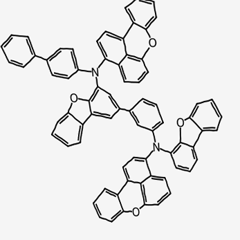 c1ccc(-c2ccc(N(c3ccc4c5c(cccc35)Oc3ccccc3-4)c3cc(-c4cccc(N(c5ccc6c7c(cccc57)Oc5ccccc5-6)c5cccc6c5oc5ccccc56)c4)cc4c3oc3ccccc34)cc2)cc1